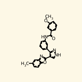 COc1cccc(C(=O)Nc2cccc(-c3n[nH]cc3-c3nc4cc(C)ccc4o3)c2)c1